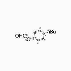 CCC(C)c1ccc(OC=O)cc1